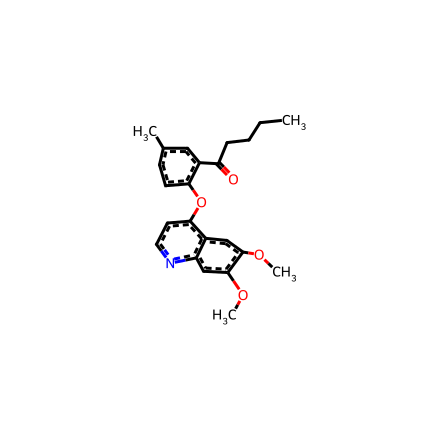 CCCCC(=O)c1cc(C)ccc1Oc1ccnc2cc(OC)c(OC)cc12